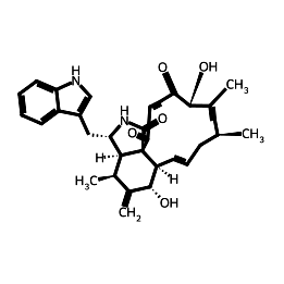 C=C1[C@@H](C)[C@H]2[C@H](Cc3c[nH]c4ccccc34)NC(=O)[C@]23C(=O)/C=C/C(=O)[C@H](O)/C(C)=C/[C@@H](C)C/C=C/[C@H]3[C@@H]1O